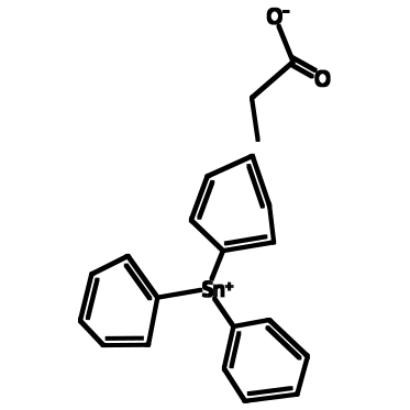 CCC(=O)[O-].c1cc[c]([Sn+]([c]2ccccc2)[c]2ccccc2)cc1